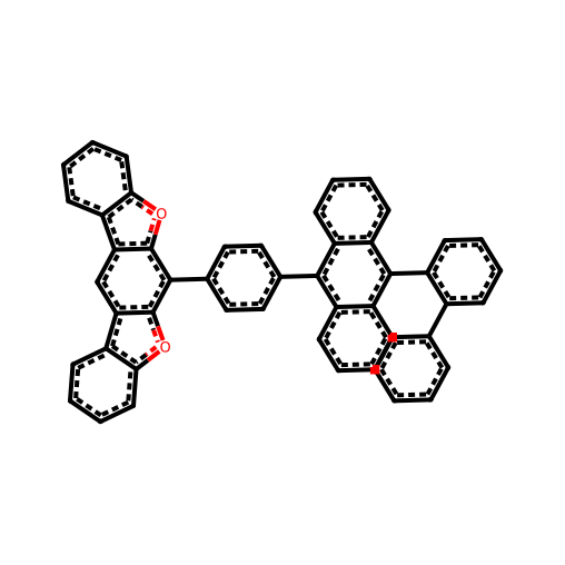 c1ccc(-c2ccccc2-c2c3ccccc3c(-c3ccc(-c4c5oc6ccccc6c5cc5c4oc4ccccc45)cc3)c3ccccc23)cc1